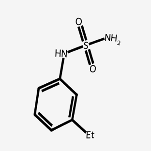 CCc1cccc(NS(N)(=O)=O)c1